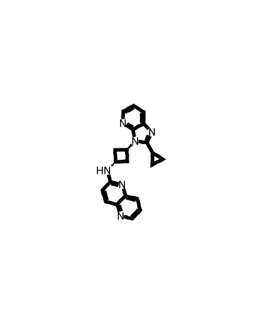 c1cnc2ccc(N[C@H]3C[C@H](n4c(C5CC5)nc5cccnc54)C3)nc2c1